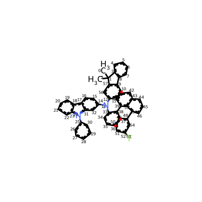 CC1(C)c2ccccc2-c2ccc(N(c3ccc4c5ccccc5n(-c5ccccc5)c4c3)c3ccccc3-c3cccc4cccc(-c5cccc(F)c5)c34)cc21